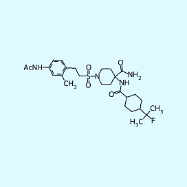 CC(=O)Nc1ccc(CCS(=O)(=O)N2CCC(NC(=O)C3CCC(C(C)(C)F)CC3)(C(N)=O)CC2)c(C)c1